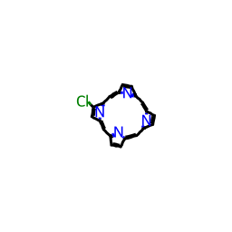 ClC1=CC2=CC3=NC(=CC4=NC(=CC5=NC(=CC1=N2)C=C5)C=C4)C=C3